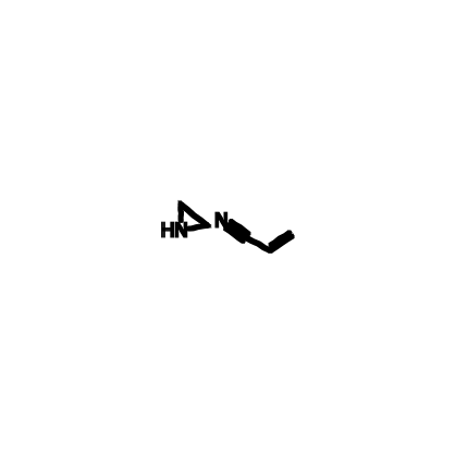 C1CN1.C=CC#N